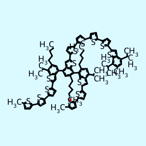 CCCCCc1cc(-c2cc(CCCCC)c(C(C)C)c3sc(-c4ccc(-c5ccc(-c6ccc(C)s6)s5)s4)cc23)c2cc(-c3ccc(-c4ccc(-c5ccc(-c6ccc(-c7cc8c(C(C)C)cc(C)c(C(C)C)c8s7)s6)s5)s4)s3)sc2c1-c1c(CCCCC)cc(C(C)C)c2cc(-c3ccc(-c4ccc(C)s4)s3)sc12